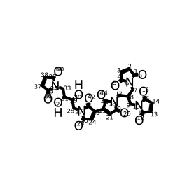 O=C1C=CC(=O)N1CC(CN1C(=O)C=CC1=O)CN1C(=O)C=C(C2=CC(=O)N(CC(O)C(O)CN3C(=O)C=CC3=O)C2=O)C1=O